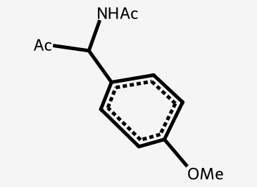 COc1ccc(C(NC(C)=O)C(C)=O)cc1